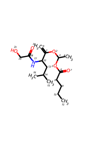 C=C(OC(C)OC(=O)CCCC)C(CC(C)C)NC(=O)CO